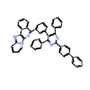 c1ccc(-c2ccc(-c3nc(-c4ccccc4)c(-c4cccc(-c5nc6c(nc7ccccn76)c6ccccc56)c4)c(-c4ccccc4)n3)cc2)cc1